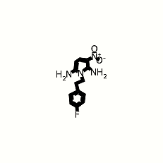 NC1=CC=C([N+](=O)[O-])C(N)N1CCc1ccc(F)cc1